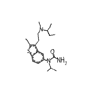 CCC(C)N(C)CCc1c(C)sc2ccc(N(C(N)=O)C(C)C)cc12